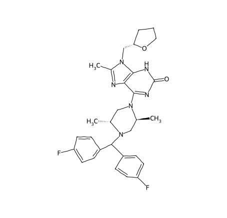 Cc1nc2c(N3C[C@@H](C)N(C(c4ccc(F)cc4)c4ccc(F)cc4)C[C@@H]3C)nc(=O)[nH]c2n1C[C@@H]1CCCO1